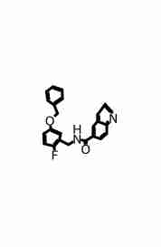 O=C(NCc1cc(OCc2ccccc2)ccc1F)c1ccc2ncccc2c1